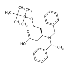 C[C@H](c1ccccc1)N(Cc1ccccc1)[C@H](CCO[Si](C)(C)C(C)(C)C)CC(=O)O